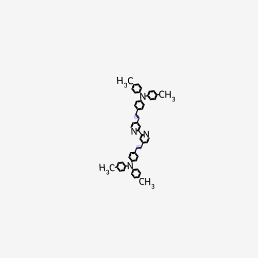 Cc1ccc(N(c2ccc(C)cc2)c2ccc(/C=C/c3ccnc(-c4cc(/C=C/c5ccc(N(c6ccc(C)cc6)c6ccc(C)cc6)cc5)ccn4)c3)cc2)cc1